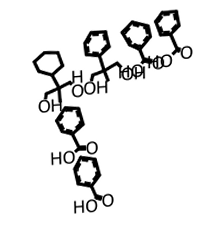 CC(CO)(CO)C1CCCCC1.CC(CO)(CO)c1ccccc1.O=C(O)c1ccccc1.O=C(O)c1ccccc1.O=C(O)c1ccccc1.O=C(O)c1ccccc1